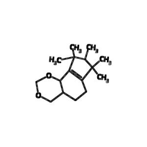 CC1C(C)(C)C2=C(C3OCOCC3CC2)C1(C)C